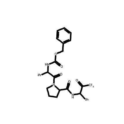 CC(C)C(NC(=O)OCc1ccccc1)C(=O)N1CCCC1C(=O)NC(C(=O)C(F)(F)F)C(C)C